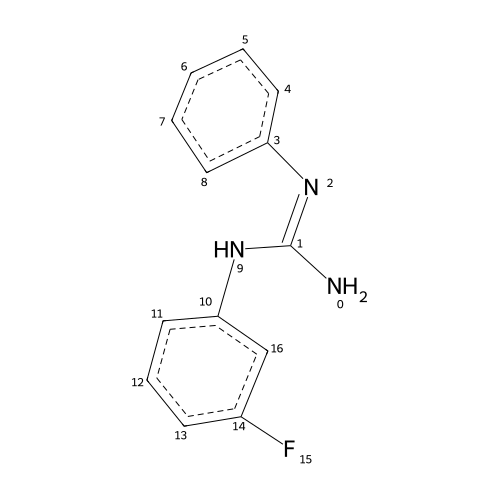 NC(=Nc1ccccc1)Nc1cccc(F)c1